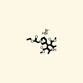 Br.CCOC(=O)C[n+]1cccc(C2C(C(=O)OC)=C(C)NC(C)=C2C(=O)OC)c1.[Br-]